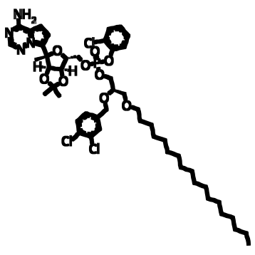 CCCCCCCCCCCCCCCCCCOC[C@H](COP(=O)(OC[C@H]1O[C@@](C)(c2ccc3c(N)ncnn23)[C@@H]2OC(C)(C)O[C@@H]21)Oc1ccccc1Cl)OCc1ccc(Cl)c(Cl)c1